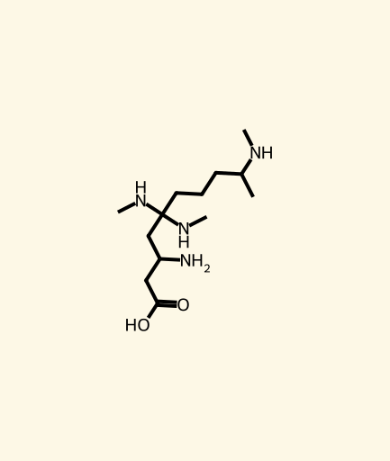 CNC(C)CCCC(CC(N)CC(=O)O)(NC)NC